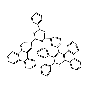 c1ccc(C2=C(c3ccccc3)C(c3cccc(C4=NC(c5ccccc5)NC(c5ccc6c7ccccc7c7ccccc7c6c5)N4)c3)=C(c3ccccc3)C(c3ccccc3)N2)cc1